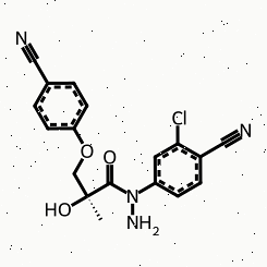 C[C@](O)(COc1ccc(C#N)cc1)C(=O)N(N)c1ccc(C#N)c(Cl)c1